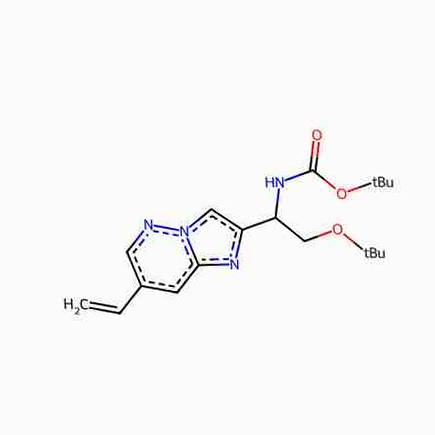 C=Cc1cnn2cc(C(COC(C)(C)C)NC(=O)OC(C)(C)C)nc2c1